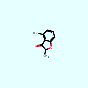 Cc1cccc2c1C(=O)C(C)O2